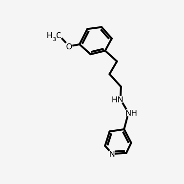 COc1cccc(CCCNNc2ccncc2)c1